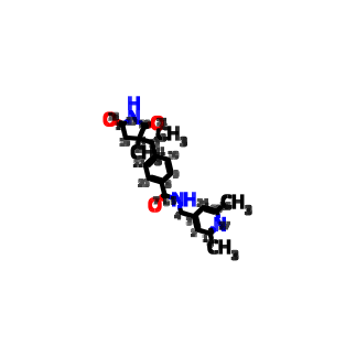 Cc1cc(CNC(=O)c2ccc([C@@H](C)C3(C)CC(=O)NC3=O)cc2)cc(C)n1